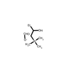 CCC(O)C[N+](C)(C)C.O=C[O-]